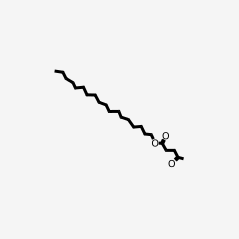 CCCCCCCCCCCCCCCCCCOC(=O)CCC(C)=O